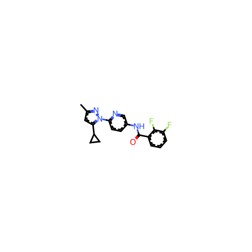 Cc1cc(C2CC2)n(-c2ccc(NC(=O)c3cccc(F)c3F)cn2)n1